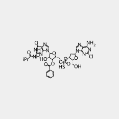 CC(C)C(=O)Nc1nc2c(ncn2[C@@H]2O[C@H](COP(=O)(S)OC3C[C@H](n4cnc5c(N)nc(Cl)nc54)O[C@@H]3CO)C(OC(=O)c3ccccc3)C2O)c(=O)[nH]1